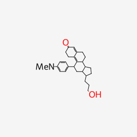 CNc1ccc(C2CC3C(CCCO)CCC3C3CCC4=CC(=O)CCC4=C23)cc1